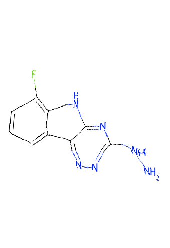 NNc1nnc2c(n1)[nH]c1c(F)cccc12